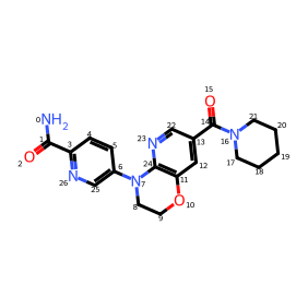 NC(=O)c1ccc(N2CCOc3cc(C(=O)N4CCCCC4)cnc32)cn1